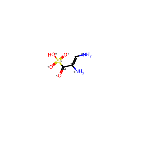 NC=C(N)C(=O)S(=O)(=O)O